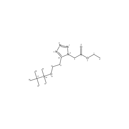 CCOC(=O)Cn1nnnc1CCO[Si](C)(C)C(C)(C)C